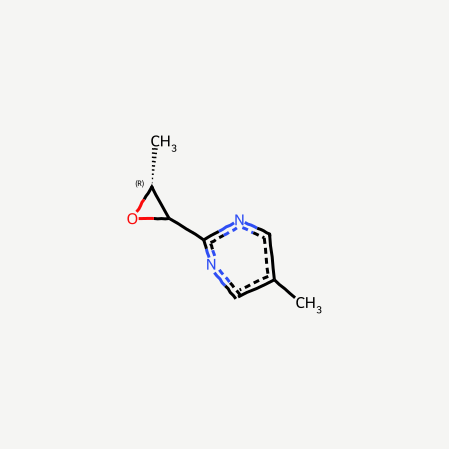 Cc1cnc(C2O[C@@H]2C)nc1